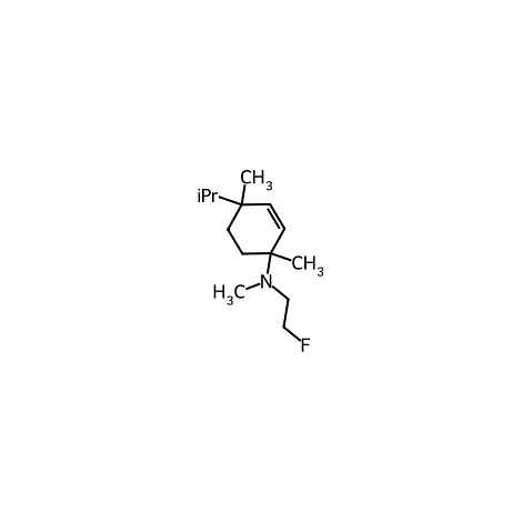 CC(C)C1(C)C=CC(C)(N(C)CCF)CC1